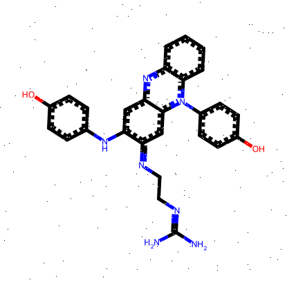 NC(N)=NCC/N=c1\cc2n(-c3ccc(O)cc3)c3ccccc3nc-2cc1Nc1ccc(O)cc1